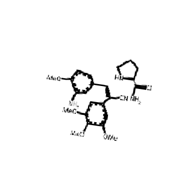 COc1ccc(C=C(C#N)c2cc(OC)c(OC)c(OC)c2)cc1N.NC(=O)[C@H]1CCCN1